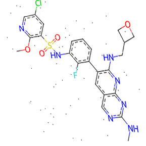 CNc1ncc2cc(-c3cccc(NS(=O)(=O)c4cc(Cl)cnc4OC)c3F)c(NCC3COC3)nc2n1